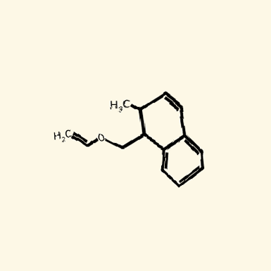 C=COCC1c2ccccc2C=CC1C